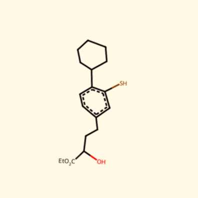 CCOC(=O)C(O)CCc1ccc(C2CCCCC2)c(S)c1